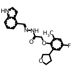 Cc1cc(F)cc(C2CCOC2)c1OCC(=O)NN=Cc1cccc2[nH]ccc12